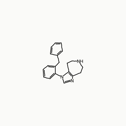 c1ccc(Cc2ccccc2-n2cnc3c2CCNCC3)cc1